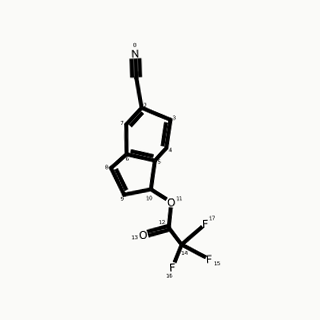 N#Cc1ccc2c(c1)C=CC2OC(=O)C(F)(F)F